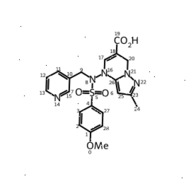 COc1ccc(S(=O)(=O)N(Cc2cccnc2)N2C=C(C(=O)O)Cn3nc(C)cc32)cc1